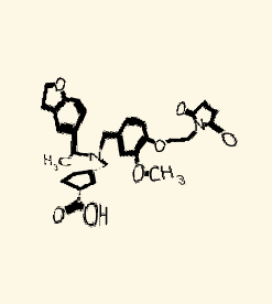 COc1cc(CN(C[C@H]2CC[C@@H](C(=O)O)C2)[C@H](C)c2ccc3c(c2)CCO3)ccc1OCCN1C(=O)CCC1=O